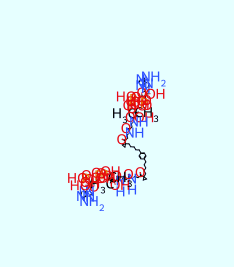 CC(C)(COP(=O)(O)OP(=O)(O)OCC1OC(n2cnc3c(N)ncnc32)C(O)C1OP(=O)(O)O)C(O)C(=O)NCCC(=O)NCCC(=O)C1(CCCCCc2ccc(CCCCCC3(C(=O)CCNC(=O)CCNC(=O)C(O)C(C)(C)COP(=O)(O)OP(=O)(O)OCC4OC(n5cnc6c(N)ncnc65)C(O)C4OP(=O)(O)O)CC3)cc2)CC1